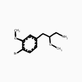 COc1cc(CC(CN)OC)ccc1Br